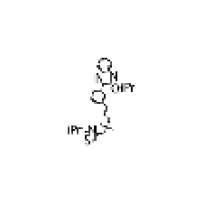 CC(C)Oc1nc2ccccc2nc1-c1cccc(/C=C/CC(C)(C)Cc2csc(C(C)C)n2)c1